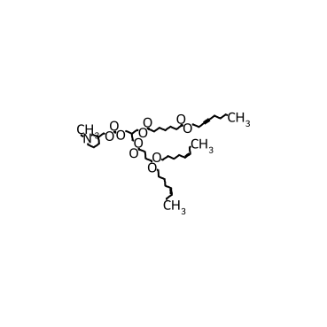 CC/C=C\CCCCOC(CCC(=O)OCC(COC(=O)CCCCCC(=O)OCCC#CCCCC)COC(=O)OCC1CCCN(CC)C1)OCCCC/C=C\CC